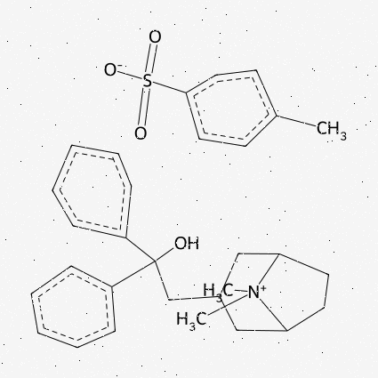 C[N+]1(C)C2CCC1CC(CC(O)(c1ccccc1)c1ccccc1)C2.Cc1ccc(S(=O)(=O)[O-])cc1